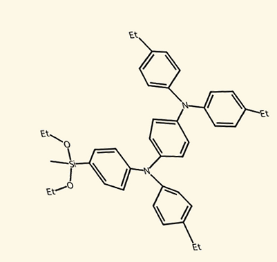 CCO[Si](C)(OCC)c1ccc(N(c2ccc(CC)cc2)c2ccc(N(c3ccc(CC)cc3)c3ccc(CC)cc3)cc2)cc1